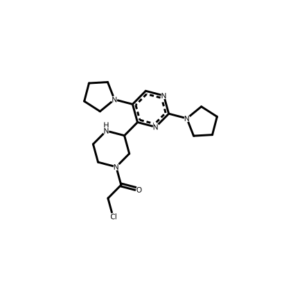 O=C(CCl)N1CCNC(c2nc(N3CCCC3)ncc2N2CCCC2)C1